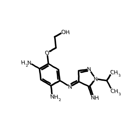 CC(C)N1N=CC(=Nc2cc(OCCO)c(N)cc2N)C1=N